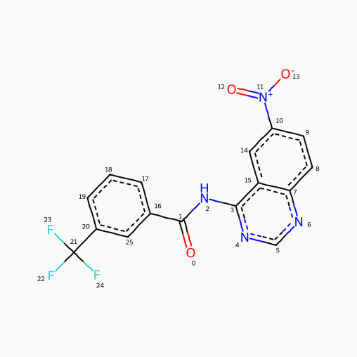 O=C(Nc1ncnc2ccc([N+](=O)[O-])cc12)c1cccc(C(F)(F)F)c1